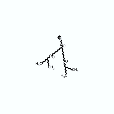 CCCCCC(CCCCC)CCOC(=O)CCCCCCCCC(CCCCCCCC(=O)OCCC(CCCCC)CCCCC)C(=O)OCCCN1CCCC1